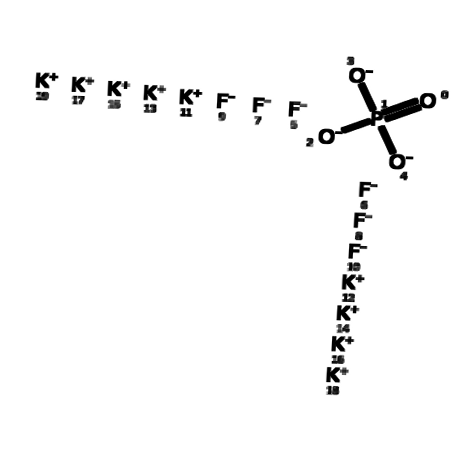 O=P([O-])([O-])[O-].[F-].[F-].[F-].[F-].[F-].[F-].[K+].[K+].[K+].[K+].[K+].[K+].[K+].[K+].[K+]